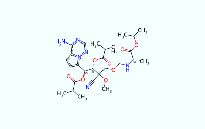 COC(C#N)(COCN[C@@H](C)C(=O)OC(C)C)[C@@H](OC(=O)C(C)C)[C@@H](OC(=O)C(C)C)c1ccc2c(N)ncnn12